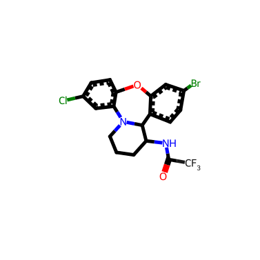 O=C(NC1CCCN2c3cc(Cl)ccc3Oc3cc(Br)ccc3C12)C(F)(F)F